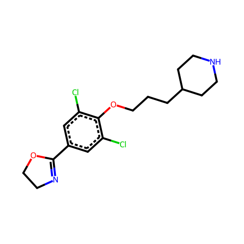 Clc1cc(C2=NCCO2)cc(Cl)c1OCCCC1CCNCC1